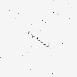 COC(CCCCCCCC(=O)OCC(O)COP(=O)(O)O)OO